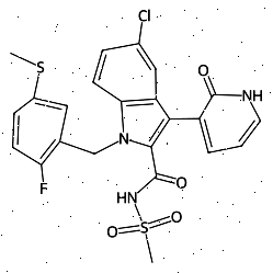 CSc1ccc(F)c(Cn2c(C(=O)NS(C)(=O)=O)c(-c3ccc[nH]c3=O)c3cc(Cl)ccc32)c1